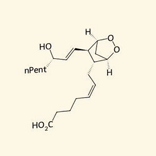 CCCCC[C@H](O)/C=C/[C@@H]1[C@@H](C/C=C\CCCC(=O)O)[C@H]2C[C@@H]1OO2